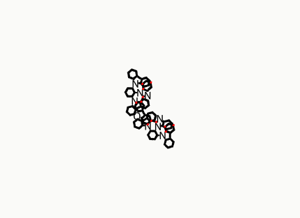 c1cc(-n2c3ccccc3c3ccccc32)c(-n2c(-c3ccc4oc5ccc(-c6nc7ccccc7n6-c6c(-n7c8ccccc8c8ccccc87)cccc6-n6c7ccccc7c7ccccc76)cc5c4c3)nc3ccccc32)c(-n2c3ccccc3c3ccccc32)c1